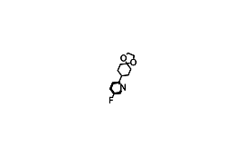 Fc1ccc(C2CCC3(CC2)OCCO3)nc1